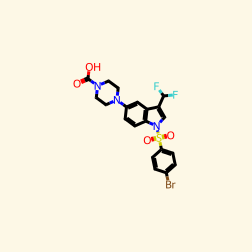 O=C(O)N1CCN(c2ccc3c(c2)c(C(F)F)cn3S(=O)(=O)c2ccc(Br)cc2)CC1